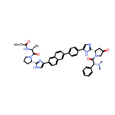 COC(=O)N[C@H](C(=O)N1CCC[C@H]1c1nc(-c2ccc3cc(-c4ccc(-c5cnc([C@@H]6CC(=O)CN6C(=O)[C@@H](c6ccccc6)N(C)C)[nH]5)cc4)ccc3c2)c[nH]1)C(C)C